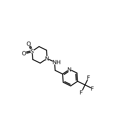 O=S1(=O)CCN(NCc2ccc(C(F)(F)F)cn2)CC1